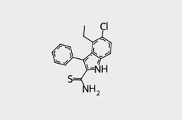 CCc1c(Cl)ccc2[nH]c(C(N)=S)c(-c3ccccc3)c12